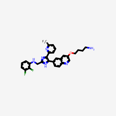 NCCCCOc1cnc2ccc(-c3[nH]c(CNc4cccc(F)c4F)nc3-c3cccc(C(F)(F)F)n3)cc2c1